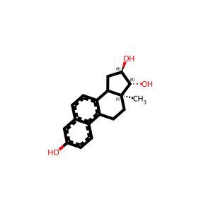 C[C@]12CCc3c(ccc4cc(O)ccc34)C1C[C@@H](O)[C@@H]2O